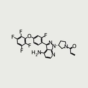 C=CC(=O)N1CC[C@@H](n2nc(-c3ccc(Oc4c(F)c(F)cc(F)c4F)cc3F)c3c(N)ccnc32)C1